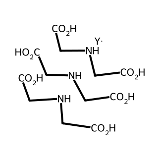 O=C(O)CNCC(=O)O.O=C(O)CNCC(=O)O.O=C(O)CNCC(=O)O.[Y]